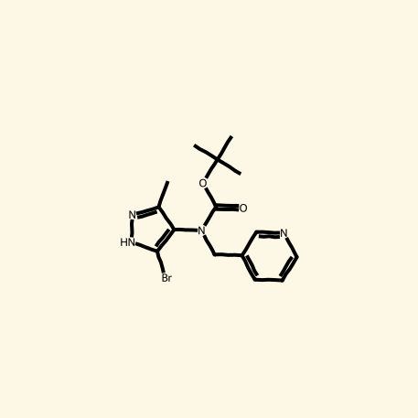 Cc1n[nH]c(Br)c1N(Cc1cccnc1)C(=O)OC(C)(C)C